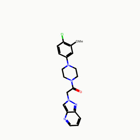 COc1cc(N2CCN(C(=O)Cn3cc4ncccc4n3)CC2)ccc1Cl